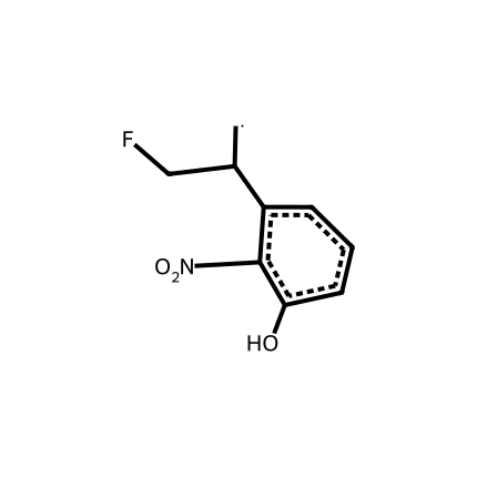 [CH2]C(CF)c1cccc(O)c1[N+](=O)[O-]